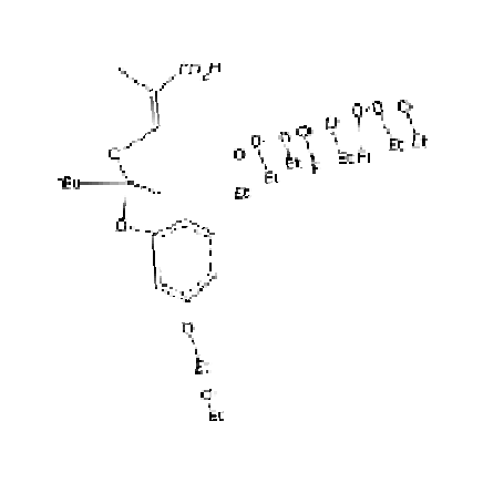 [CH2]C(CCCC)(OC=C(C)C(=O)O)Oc1ccccc1.[CH2]C[O].[CH2]C[O].[CH2]C[O].[CH2]C[O].[CH2]C[O].[CH2]C[O].[CH2]C[O].[CH2]C[O].[CH2]C[O].[CH2]C[O]